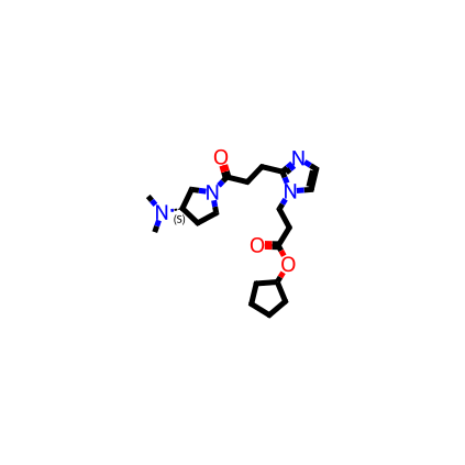 CN(C)[C@H]1CCN(C(=O)CCc2nccn2CCC(=O)OC2CCCC2)C1